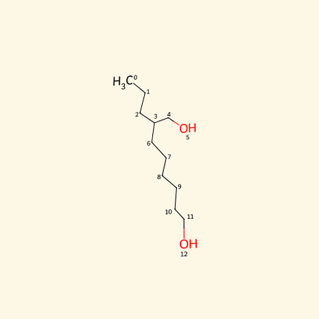 CCCC(CO)CCCCCCO